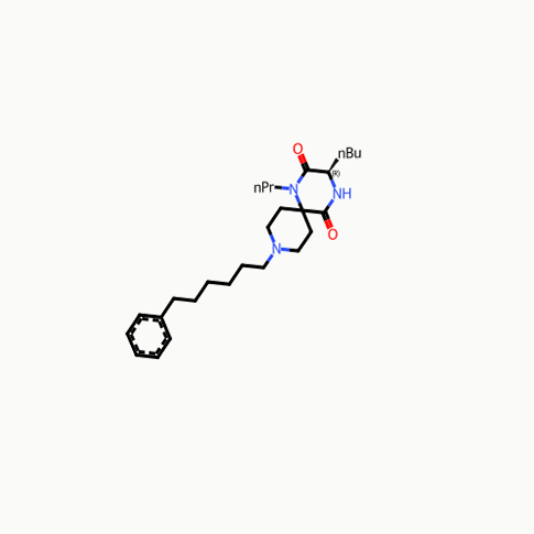 CCCC[C@H]1NC(=O)C2(CCN(CCCCCCc3ccccc3)CC2)N(CCC)C1=O